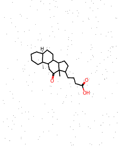 CC12C(=O)CC3C(CC[C@@H]4CCCC[C@]34C)C1CCC2CCCC(=O)O